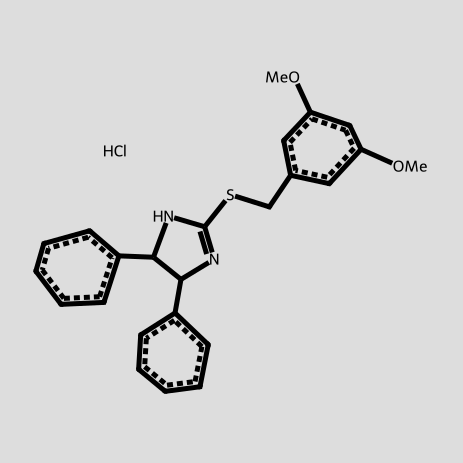 COc1cc(CSC2=NC(c3ccccc3)C(c3ccccc3)N2)cc(OC)c1.Cl